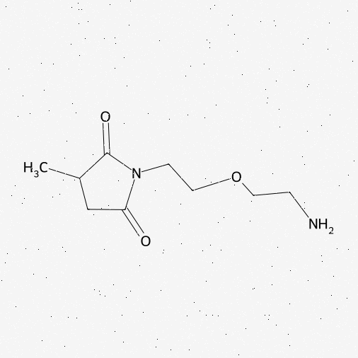 CC1CC(=O)N(CCOCCN)C1=O